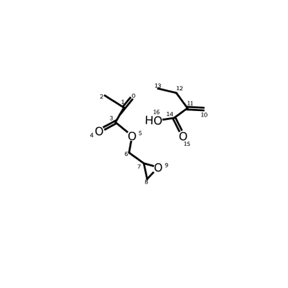 C=C(C)C(=O)OCC1CO1.C=C(CC)C(=O)O